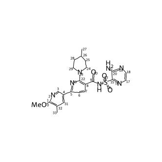 COc1ncc(-c2ccc(C(=O)NS(=O)(=O)c3nccnc3N)c(N3CCC(C)CC3)n2)cc1C